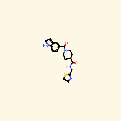 O=C(NCc1nccs1)C1CCN(C(=O)c2ccc3[nH]ccc3c2)CC1